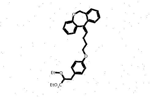 CCOC(=O)C(Cc1ccc(OCCCC=C2c3ccccc3COc3ccccc32)cc1)OCC